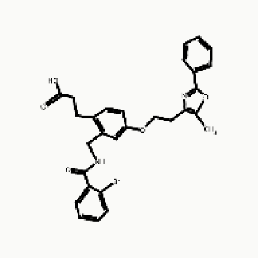 Cc1oc(-c2ccccc2)nc1CCOc1ccc(CCC(=O)O)c(CNC(=O)c2ccccc2Br)c1